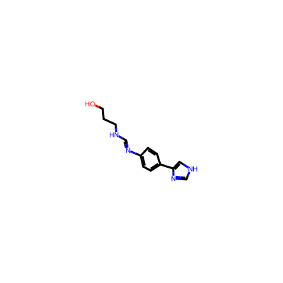 OCCCNC=Nc1ccc(-c2c[nH]cn2)cc1